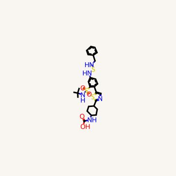 CC(C)(C)NS(=O)(=O)c1cc(NSNCc2ccccc2)ccc1-c1cnc(C2CCC(NC(=O)O)CC2)s1